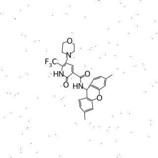 Cc1ccc2c(c1)Oc1cc(C)ccc1C2NC(=O)c1cc(N2CCOCC2)c(C(F)(F)F)[nH]c1=O